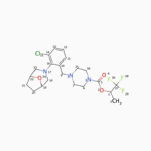 CC(OC(=O)N1CCN(Cc2cccc(Cl)c2N2CC3CCC(C2)O3)CC1)C(F)(F)F